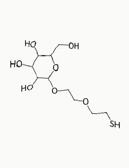 OCC1OC(OCCOCCS)C(O)C(O)C1O